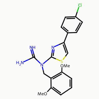 COc1cccc(OC)c1CN(C(=N)N)c1nc(-c2ccc(Cl)cc2)cs1